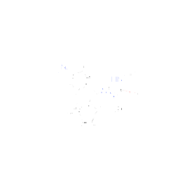 CCCCNC(=O)N1N=C(c2ccc(N)cc2)c2cc(Cl)ccc2CC1C